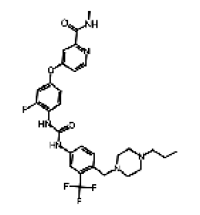 CCCN1CCN(Cc2ccc(NC(=O)Nc3ccc(Oc4ccnc(C(=O)NC)c4)cc3F)cc2C(F)(F)F)CC1